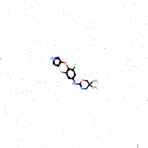 CC1(C)CN=C(Nc2cc(F)c(Oc3cc[nH]c3)c(F)c2)OC1